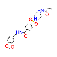 C=CC(=O)NC1CCN(S(=O)(=O)c2ccc(C(=O)NCCc3ccc4c(c3)OCO4)cc2)CC1